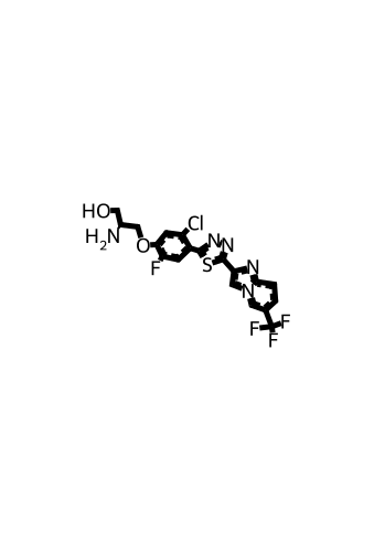 N[C@H](CO)COc1cc(Cl)c(-c2nnc(-c3cn4cc(C(F)(F)F)ccc4n3)s2)cc1F